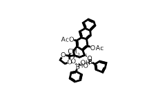 CC(=O)Oc1c2c(c(OC(C)=O)c3cc4ccccc4cc13)[C@H](OB(O)c1ccccc1)C[C@@](OB(O)c1ccccc1)(C1(C)OCCO1)C2